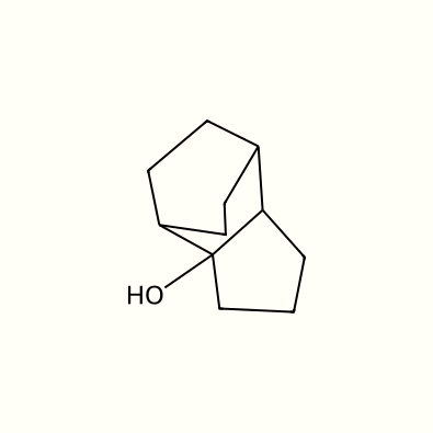 OC12CCCC1C1CCC2CC1